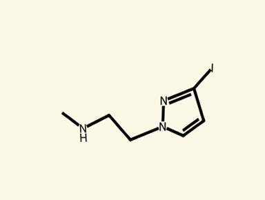 CNCCn1ccc(I)n1